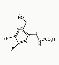 O=C(O)NCc1cc(F)c(F)cc1CO